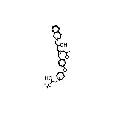 C[C@@H]1CN(C[C@H](O)CN2CCc3ccccc3C2)Cc2ccc(OC3CCN(CC(O)C(F)(F)F)CC3)cc2O1